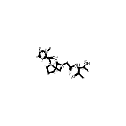 CC(=O)C(NC(=O)CN1CC2(CCCN2C(=O)c2ncnn2C)C1=O)C(C)O